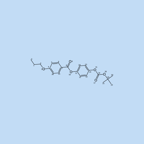 CCCOc1ccc(C(=O)Oc2ccc(OC(=O)OC(C)(C)C)cc2)cc1